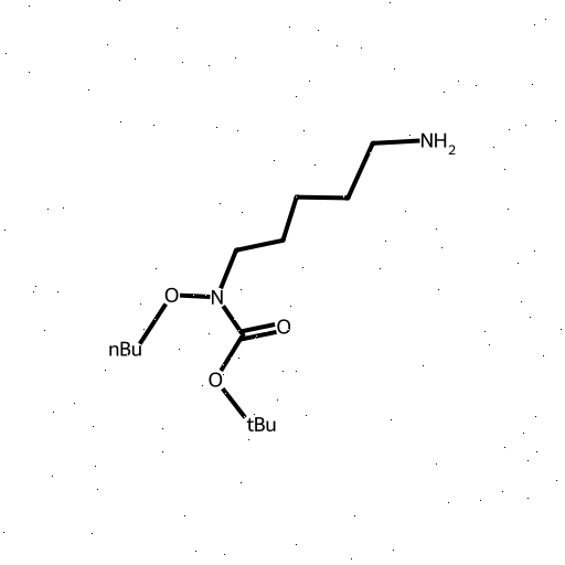 CCCCON(CCCCCN)C(=O)OC(C)(C)C